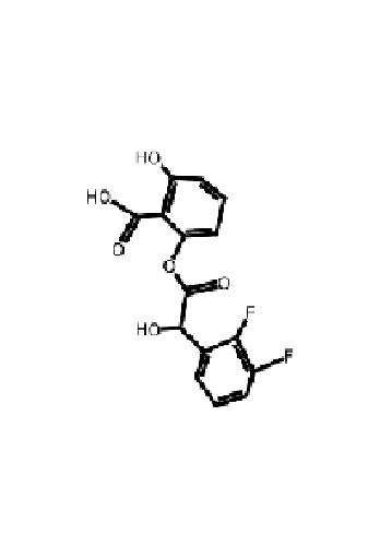 O=C(O)c1c(O)cccc1OC(=O)C(O)c1cccc(F)c1F